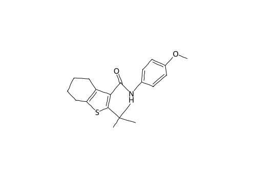 COc1ccc(NC(=O)c2c(C(C)(C)C)sc3c2CCCC3)cc1